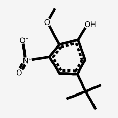 COc1c(O)cc(C(C)(C)C)cc1[N+](=O)[O-]